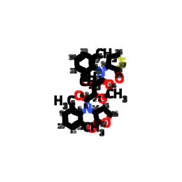 COC(C(=O)N(c1c(C)cccc1C)C1CCOC1=O)C(OC)C(=O)N(c1c(C)cccc1C)C1CCSC1=O